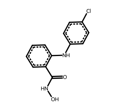 O=C(NO)c1ccccc1Nc1ccc(Cl)cc1